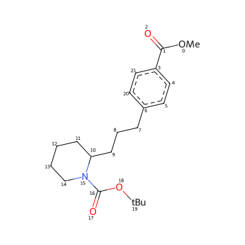 COC(=O)c1ccc(CCCC2CCCCN2C(=O)OC(C)(C)C)cc1